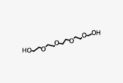 OCCOCCOCCOCCOCO